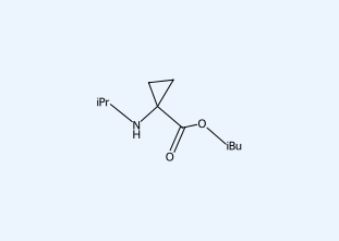 CCC(C)OC(=O)C1(NC(C)C)CC1